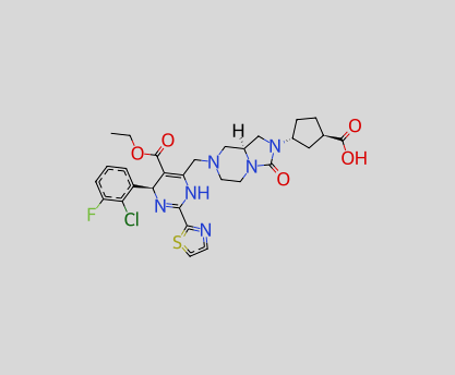 CCOC(=O)C1=C(CN2CCN3C(=O)N([C@@H]4CC[C@@H](C(=O)O)C4)C[C@@H]3C2)NC(c2nccs2)=N[C@H]1c1cccc(F)c1Cl